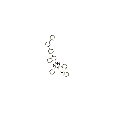 c1ccc(-c2cccc(-c3ccc(-c4ccc(-c5nc(-c6ccccc6)nc(-c6cccc7c6oc6ccccc67)n5)c5ccccc45)cc3)c2)cc1